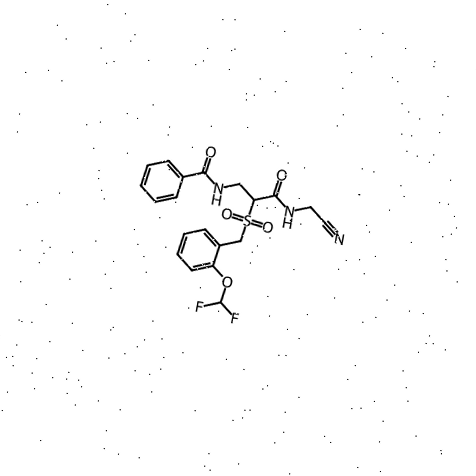 N#CCNC(=O)C(CNC(=O)c1ccccc1)S(=O)(=O)Cc1ccccc1OC(F)F